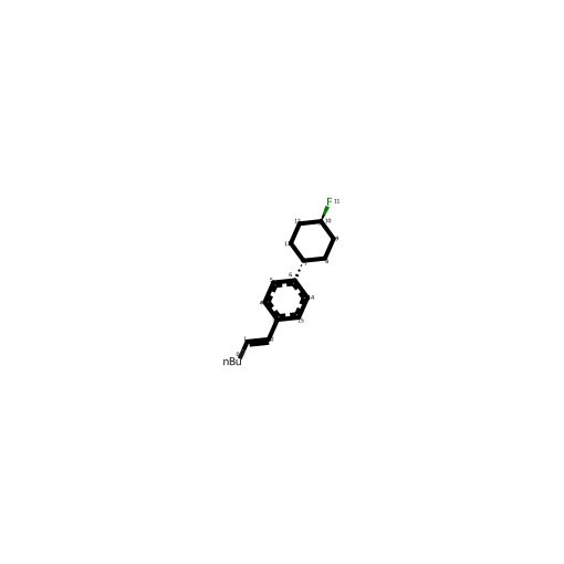 CCCCC=Cc1ccc([C@H]2CC[C@H](F)CC2)cc1